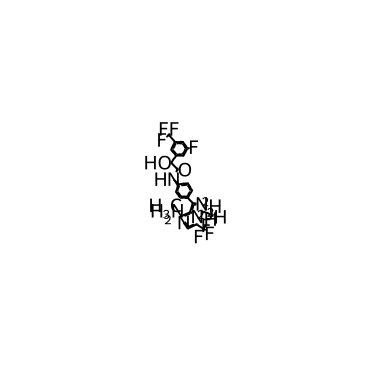 [2H]C([2H])([2H])c1nc(-c2ccc(NC(=O)C(O)c3cc(F)cc(C(F)(F)F)c3)cc2C)c2c(N)ncc(C(F)(F)F)n12